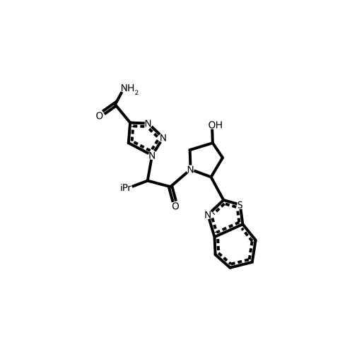 CC(C)C(C(=O)N1CC(O)CC1c1nc2ccccc2s1)n1cc(C(N)=O)nn1